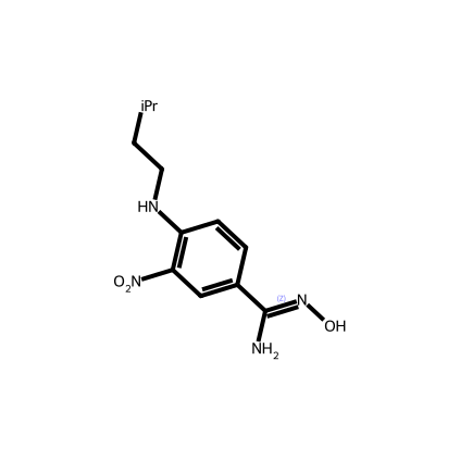 CC(C)CCNc1ccc(/C(N)=N/O)cc1[N+](=O)[O-]